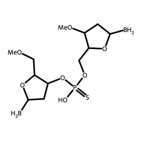 BC1CC(OC)C(COP(O)(=S)OC2CC(B)OC2COC)O1